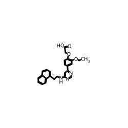 CCOc1cc(-c2cc(NCCc3cccc4ccccc34)ncn2)ccc1OCC(=O)O